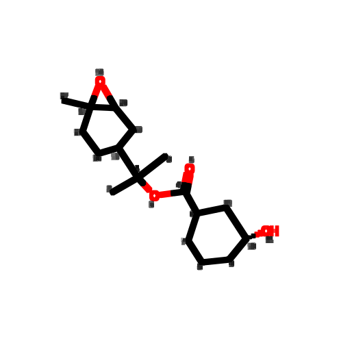 CC(C)(OC(=O)C1CCC[C@@H](O)C1)C1CCC2(C)OC2C1